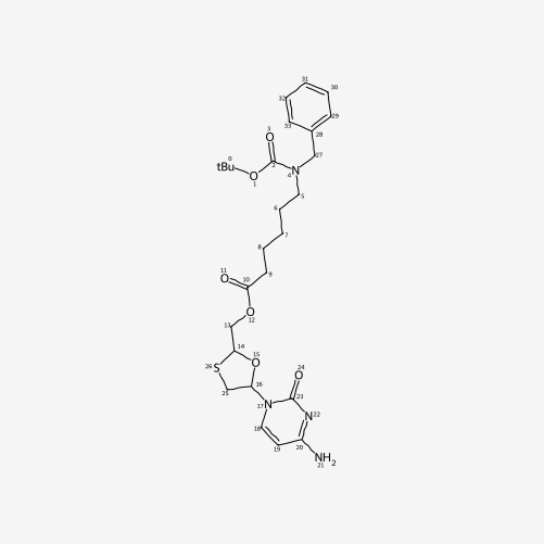 CC(C)(C)OC(=O)N(CCCCCC(=O)OCC1OC(n2ccc(N)nc2=O)CS1)Cc1ccccc1